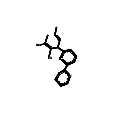 C/N=C/N(/C(C#N)=C(\C)C#N)c1cccc(-c2ccccn2)n1